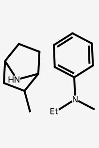 CC1CC2CCC1N2.CCN(C)c1ccccc1